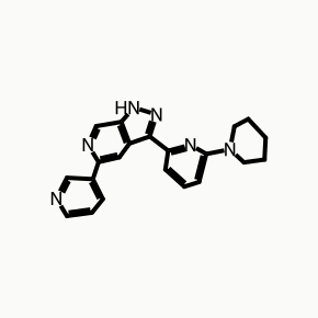 c1cncc(-c2cc3c(-c4cccc(N5CCCCC5)n4)n[nH]c3cn2)c1